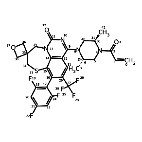 C=CC(=O)N1C[C@H](C)N(c2nc(=O)n3c4c(c(-c5c(F)cc(F)cc5F)c(C(F)(F)F)cc24)SCC2(COC2)C3)C[C@H]1C